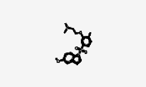 COc1ccc2c(ccn2S(=O)(=O)c2ccc(C)c(OCCN(C)C)c2)c1